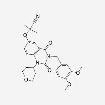 COc1ccc(Cn2c(=O)c3cc(OC(C)(C)C#N)ccc3n(C3CCOCC3)c2=O)cc1OC